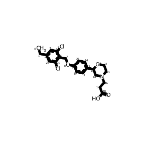 CCc1cc(Cl)c(COc2ccc(C3CN(CCC(=O)O)CCO3)cc2)c(Cl)c1